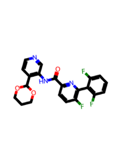 O=C(Nc1cnccc1C1OCCCO1)c1ccc(F)c(-c2c(F)cccc2F)n1